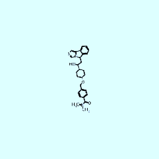 CN(C)C(=O)c1ccc(CO[C@H]2CC[C@H](C(O)CC3c4ccccc4-c4cncn43)CC2)cc1